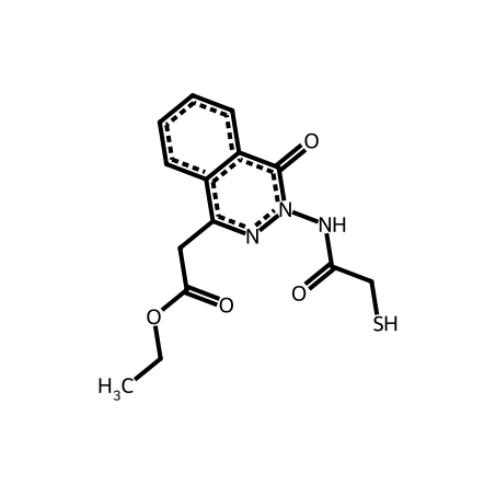 CCOC(=O)Cc1nn(NC(=O)CS)c(=O)c2ccccc12